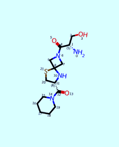 N[C@@H](CO)C(=O)N1CC2(C1)N[C@H](C(=O)N1CCCCC1)CS2